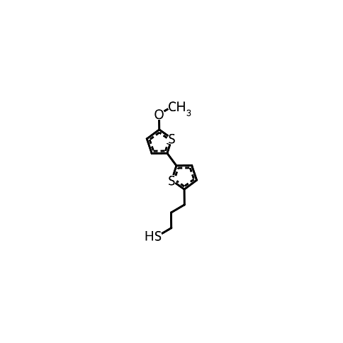 COc1ccc(-c2ccc(CCCS)s2)s1